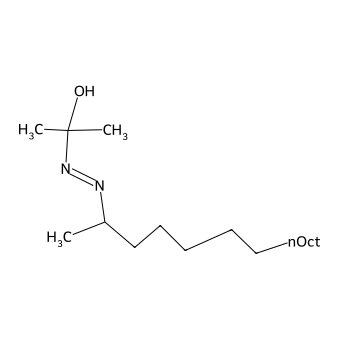 CCCCCCCCCCCCCC(C)N=NC(C)(C)O